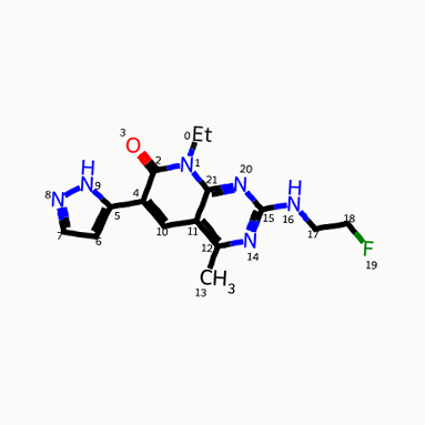 CCn1c(=O)c(-c2ccn[nH]2)cc2c(C)nc(NCCF)nc21